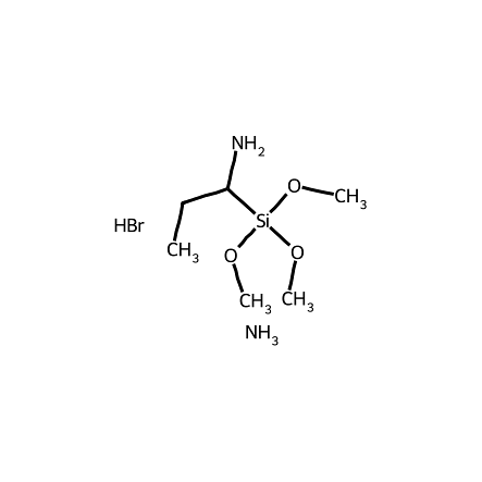 Br.CCC(N)[Si](OC)(OC)OC.N